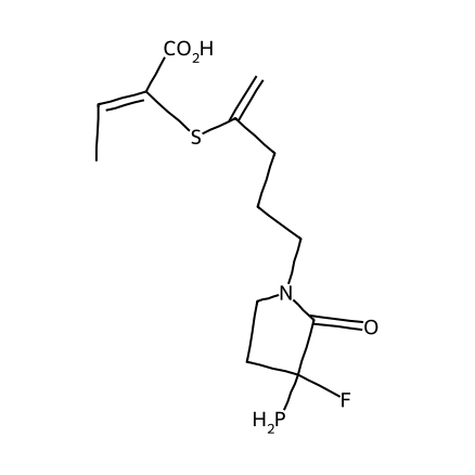 C=C(CCCN1CCC(F)(P)C1=O)S/C(=C\C)C(=O)O